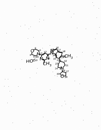 Cc1nc(N2CCOC[C@H]2CO)cc(-n2ncc3cc(C)c(C4CCN(C5CCOC5)CC4)cc32)n1